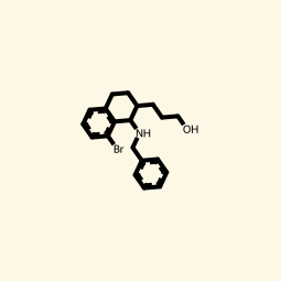 OCCCC1CCc2cccc(Br)c2C1NCc1ccccc1